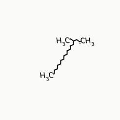 C[CH]CC(CC)CCCCCCCCCCCCCC